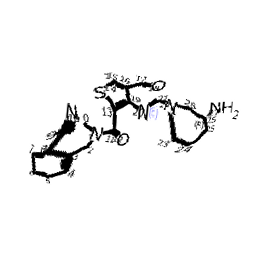 CN(Cc1ccccc1C#N)C(=O)c1scc(C=O)c1/N=C/N1CCC[C@@H](N)C1